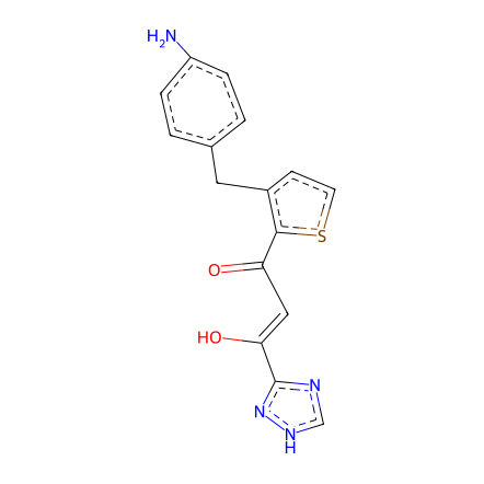 Nc1ccc(Cc2ccsc2C(=O)C=C(O)c2nc[nH]n2)cc1